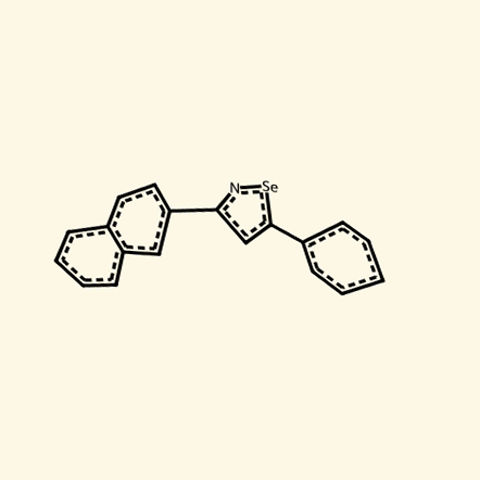 c1ccc(-c2cc(-c3ccc4ccccc4c3)n[se]2)cc1